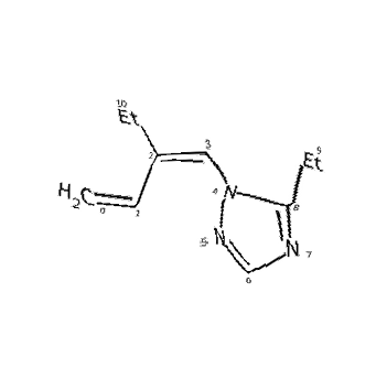 C=C/C(=C\n1ncnc1CC)CC